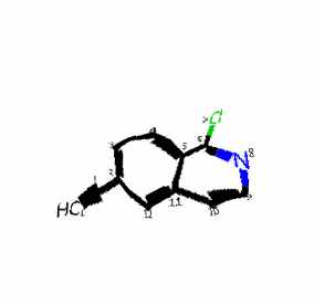 C#Cc1ccc2c(Cl)nccc2c1